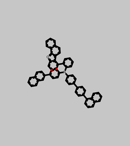 c1ccc(N(c2ccc(-c3ccc(-c4cccc5ccccc45)cc3)cc2)c2ccc(-c3ccc4ccccc4c3)cc2)c(-c2cccc3oc4c5ccccc5ccc4c23)c1